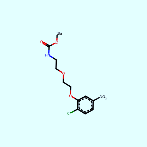 CC(C)(C)OC(=O)NCCOCCOc1cc([N+](=O)[O-])ccc1Cl